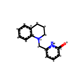 O=c1cccc(CN2CCCc3ccccc32)[nH]1